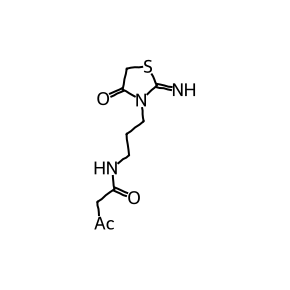 CC(=O)CC(=O)NCCCN1C(=N)SCC1=O